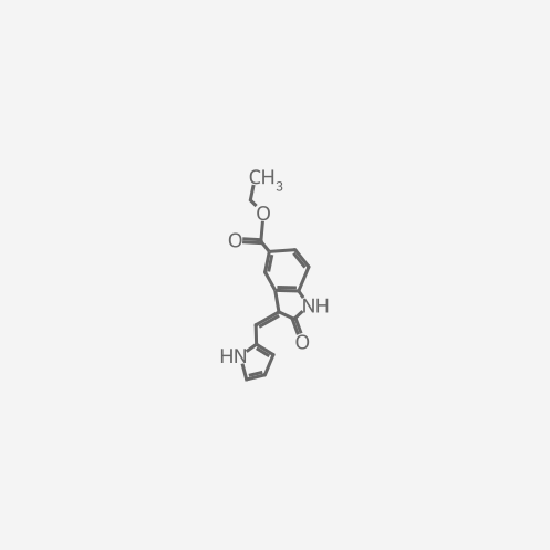 CCOC(=O)c1ccc2c(c1)C(=Cc1ccc[nH]1)C(=O)N2